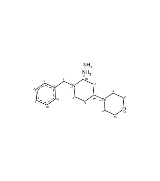 N.N.c1ccc(CN2CCC(N3CCOCC3)CC2)cc1